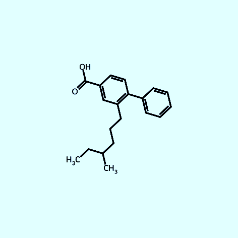 CCC(C)CCCc1cc(C(=O)O)ccc1-c1ccccc1